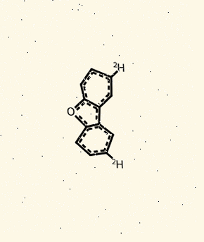 [2H]c1ccc2oc3ccc([2H])cc3c2c1